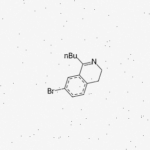 CCCCC1=NCCc2ccc(Br)cc21